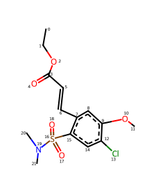 CCOC(=O)C=Cc1cc(OC)c(Cl)cc1S(=O)(=O)N(C)C